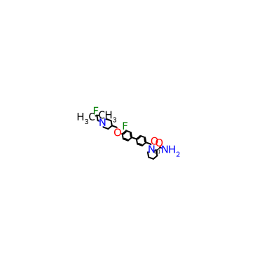 CC(C)(F)CN1CCC(COc2ccc(-c3ccc(C(=O)N4CCCC[C@@H]4C(N)=O)cc3)cc2F)CC1